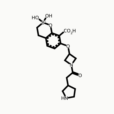 O=C(O)c1c(OC2CN(C(=O)CC3CCNC3)C2)ccc2c1O[B-](O)(O)CC2